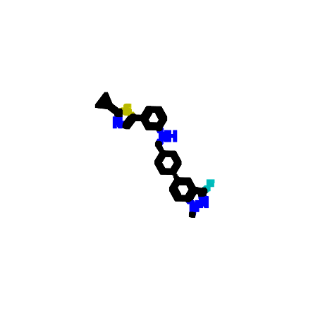 Cn1nc(F)c2cc([C@H]3CC[C@H](CNc4cccc(-c5cnc(C6CC6)s5)c4)CC3)ccc21